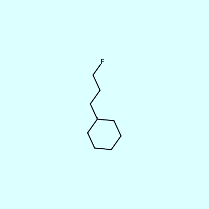 FCCC[C]1CCCCC1